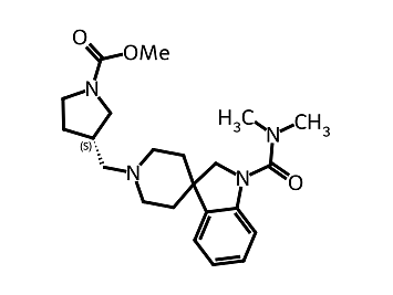 COC(=O)N1CC[C@@H](CN2CCC3(CC2)CN(C(=O)N(C)C)c2ccccc23)C1